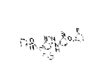 CC(OCCS(=O)(=O)c1ccccc1)C1(c2cc3c(Nc4ccc(OCc5cccc(F)c5)c(Br)c4)ncnc3cn2)CC=CO1